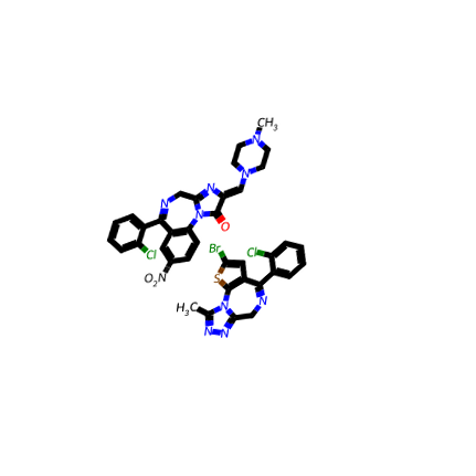 CN1CCN(/C=C2\N=C3CN=C(c4ccccc4Cl)c4cc([N+](=O)[O-])ccc4N3C2=O)CC1.Cc1nnc2n1-c1sc(Br)cc1C(c1ccccc1Cl)=NC2